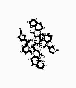 CN1CCC(N(C)c2cccc3nc(CN(C)[C@H]4CCCc5cccnc54)c(C(O)C(O)c4c(CN(C)[C@H]5CCCc6cccnc65)nc5cccc(N(C)C6CCN(C)C6)n45)n23)C1